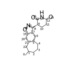 CC1CCCc2cc3c([C@@H]4CCC(=O)NC4=O)noc3cc2C1